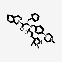 Cc1c(/C=C/C(=O)N(Cc2ccc(N3CCN(C)CC3)cc2)[C@@H](Cc2ccccc2)C(=O)N2CCc3ccccc3C2)cnn1C